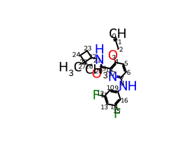 C#CCOc1ccc(Nc2cc(F)cc(F)c2)nc1C(=O)NC1CCC1(C)C